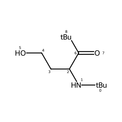 CC(C)(C)NC(CCO)C(=O)C(C)(C)C